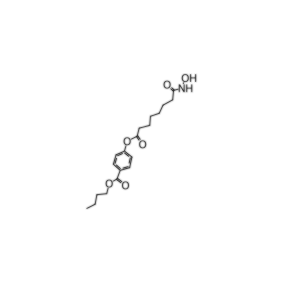 CCCCOC(=O)c1ccc(OC(=O)CCCCCCC(=O)NO)cc1